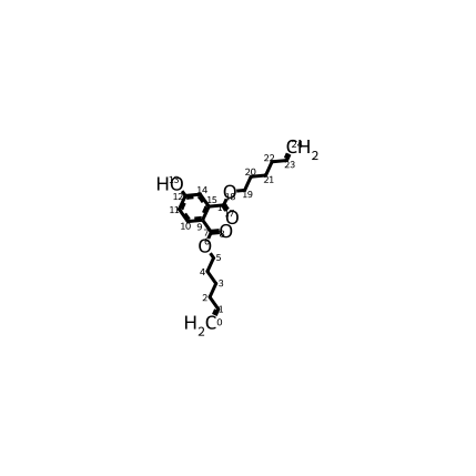 C=CCCCCOC(=O)c1ccc(O)cc1C(=O)OCCCCC=C